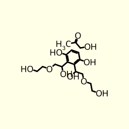 CC(=O)CO.OCCOCC(O)c1c(O)ccc(O)c1C(O)COCCO